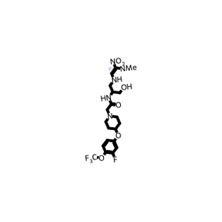 CN/C(=C\NCC(CO)NC(=O)CN1CCC(Oc2ccc(OC(F)(F)F)c(F)c2)CC1)[N+](=O)[O-]